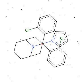 Clc1ccccc1C(c1ccccc1Cl)N1C2CCCC1CC(n1cccc1)C2